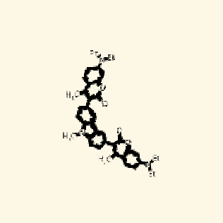 CCN(CC)c1ccc2c(C)c(-c3ccc4c(c3)c3cc(-c5c(C)c6ccc(N(CC)CC)cc6oc5=O)ccc3n4C)c(=O)oc2c1